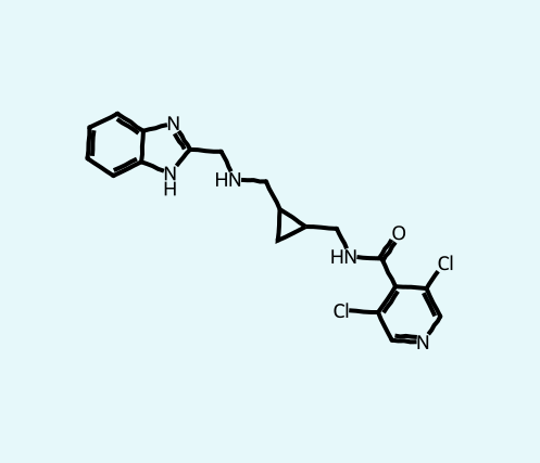 O=C(NCC1CC1CNCc1nc2ccccc2[nH]1)c1c(Cl)cncc1Cl